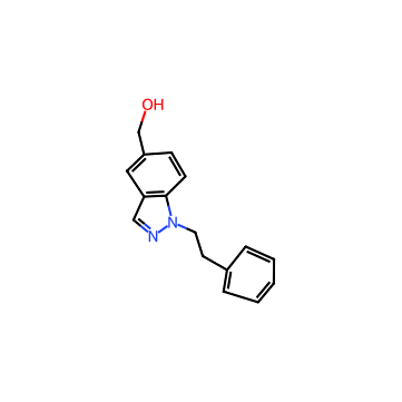 OCc1ccc2c(cnn2CCc2ccccc2)c1